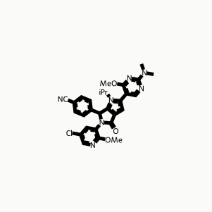 COc1nc(N(C)C)ncc1-c1cc2c(n1C(C)C)C(c1ccc(C#N)cc1)N(c1cc(Cl)cnc1OC)C2=O